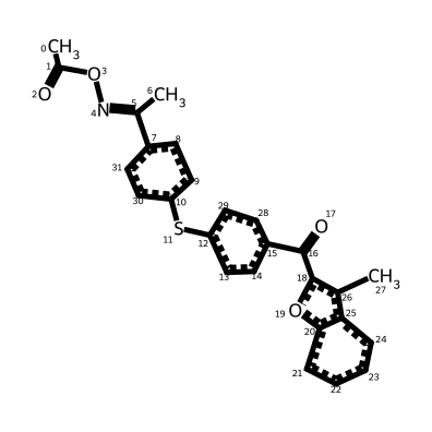 CC(=O)ON=C(C)c1ccc(Sc2ccc(C(=O)c3oc4ccccc4c3C)cc2)cc1